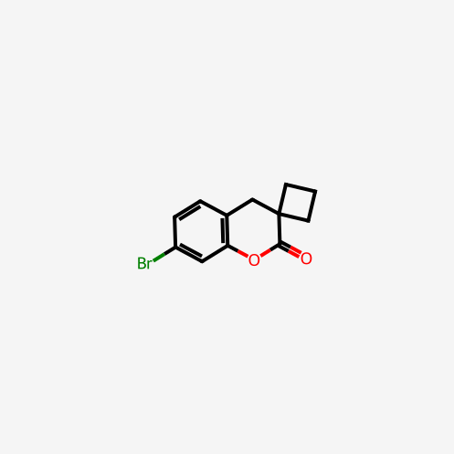 O=C1Oc2cc(Br)ccc2CC12CCC2